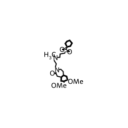 COc1cc2c(cc1OC)CC(=O)N(CCCN(C)CCCS(=O)(=O)c1ccccc1)CC2